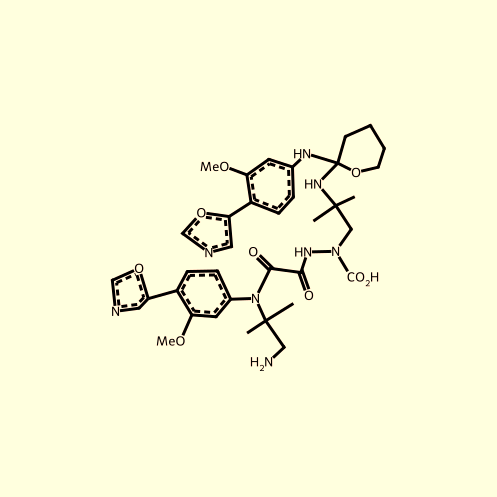 COc1cc(NC2(NC(C)(C)CN(NC(=O)C(=O)N(c3ccc(-c4cnco4)c(OC)c3)C(C)(C)CN)C(=O)O)CCCCO2)ccc1-c1cnco1